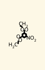 C=CCOC(=O)c1cc(C(=O)OCC=C)cc([N+](=O)[O-])c1